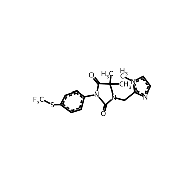 Cn1ccnc1CN1C(=O)N(c2ccc(SC(F)(F)F)cc2)C(=O)C1(C)C